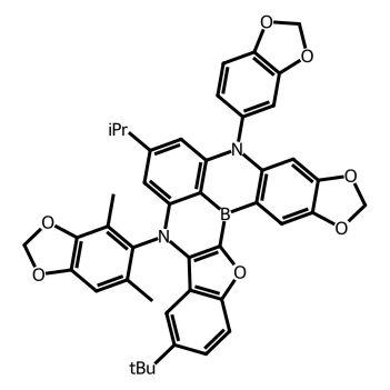 Cc1cc2c(c(C)c1N1c3cc(C(C)C)cc4c3B(c3cc5c(cc3N4c3ccc4c(c3)OCO4)OCO5)c3oc4ccc(C(C)(C)C)cc4c31)OCO2